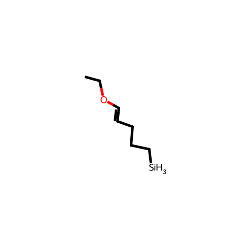 CCOC=CCCC[SiH3]